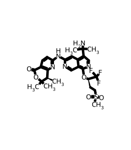 C[C@@H]1c2nc(Nc3cc4c(C(C)(C)N)cnc(O[C@H](CCS(C)(=O)=O)C(F)(F)F)c4cn3)ccc2C(=O)OC1(C)C